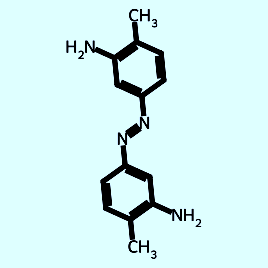 Cc1ccc(N=Nc2ccc(C)c(N)c2)cc1N